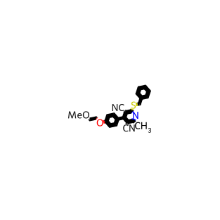 COCCOc1ccc(-c2c(C#N)c(C)nc(SCc3ccccc3)c2C#N)cc1